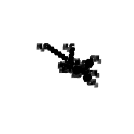 CCCCCCCCCCCCOC(CCCCCC)C(C)(C)OC(Oc1ccc(N2C=C(c3ccc(C)cc3C)N=C(c3ccc(C)cc3C)N2)c(O)c1)C(C)O